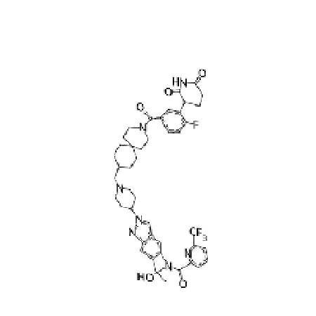 CC1(O)c2cc3nn(C4CCN(CC5CCC6(CC5)CCN(C(=O)c5ccc(F)c(C7CCC(=O)NC7=O)c5)CC6)CC4)cc3cc2N1C(=O)c1cccc(C(F)(F)F)n1